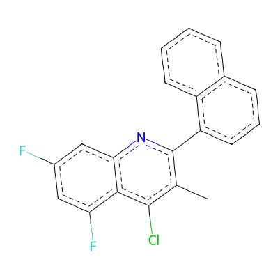 Cc1c(-c2cccc3ccccc23)nc2cc(F)cc(F)c2c1Cl